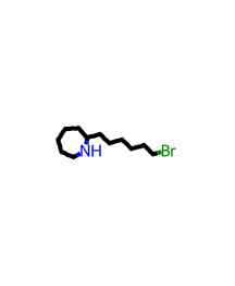 BrCCCCCCC1CCCCCN1